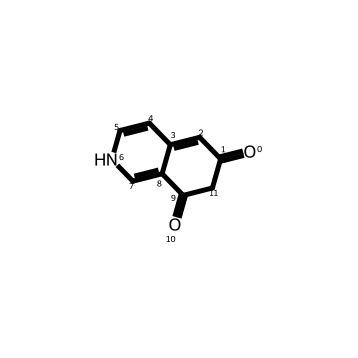 O=C1C=C2C=CNC=C2C(=O)C1